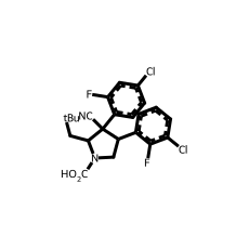 CC(C)(C)CC1N(C(=O)O)CC(c2cccc(Cl)c2F)C1(C#N)c1ccc(Cl)cc1F